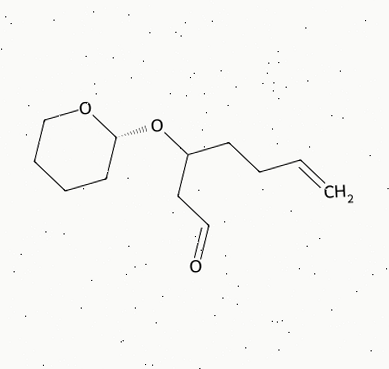 C=CCCC(CC=O)O[C@@H]1CCCCO1